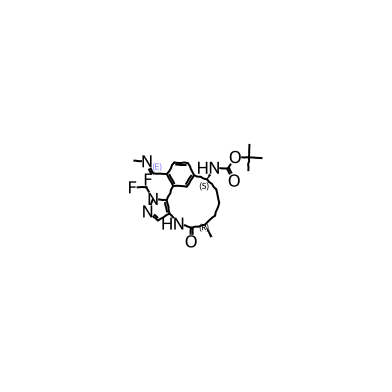 C/N=C/c1ccc2cc1-c1c(cnn1C(F)F)NC(=O)[C@H](C)CCC[C@@H]2NC(=O)OC(C)(C)C